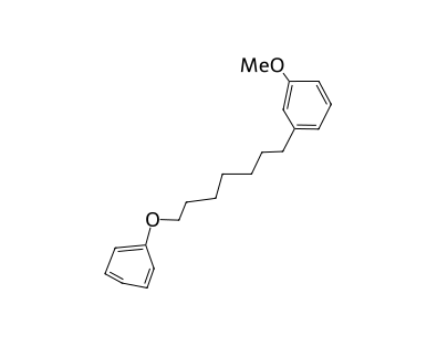 COc1cccc(CCCCCCCOc2ccccc2)c1